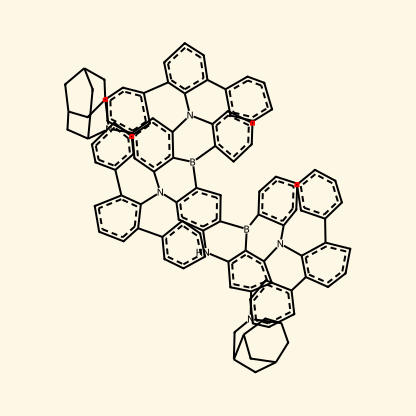 c1ccc(-c2cccc(-c3ccccc3)c2N2c3ccccc3B3c4cc5c(cc4Nc4cc(N6CC7CC8CC7CC6C8)cc2c43)N(c2c(-c3ccccc3)cccc2-c2ccccc2)c2cc(N3C4CC6CC(C4)CC3C6)cc3c2B5c2ccccc2N3c2c(-c3ccccc3)cccc2-c2ccccc2)cc1